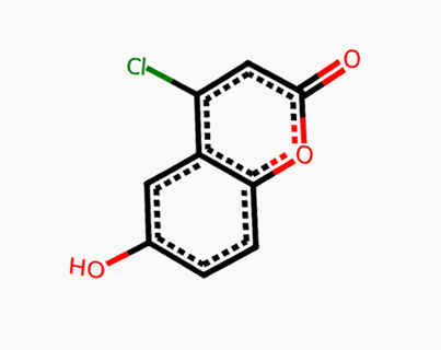 O=c1cc(Cl)c2cc(O)ccc2o1